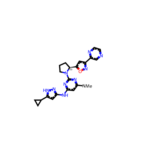 CNc1cc(Nc2cc(C3CC3)[nH]n2)nc(N2CCC[C@H]2c2cc(-c3cnccn3)no2)n1